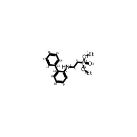 CCOP(=O)(CCNc1ccccc1-c1ccccc1)OCC